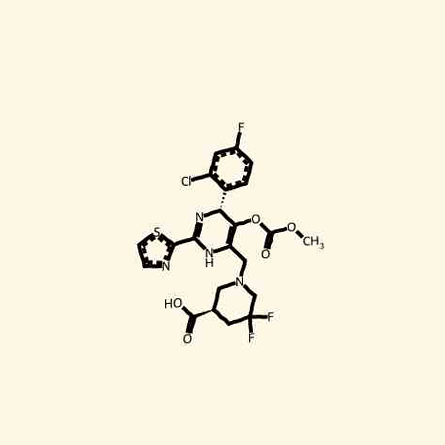 COC(=O)OC1=C(CN2C[C@H](C(=O)O)CC(F)(F)C2)NC(c2nccs2)=N[C@@H]1c1ccc(F)cc1Cl